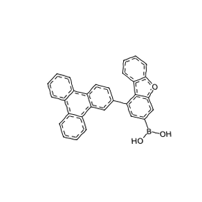 OB(O)c1cc(-c2ccc3c4ccccc4c4ccccc4c3c2)c2c(c1)oc1ccccc12